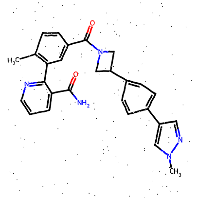 Cc1ccc(C(=O)N2CC(c3ccc(-c4cnn(C)c4)cc3)C2)cc1-c1ncccc1C(N)=O